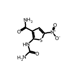 NC(=O)Nc1sc([N+](=O)[O-])cc1C(N)=O